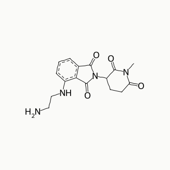 CN1C(=O)CCC(N2C(=O)c3cccc(NCCN)c3C2=O)C1=O